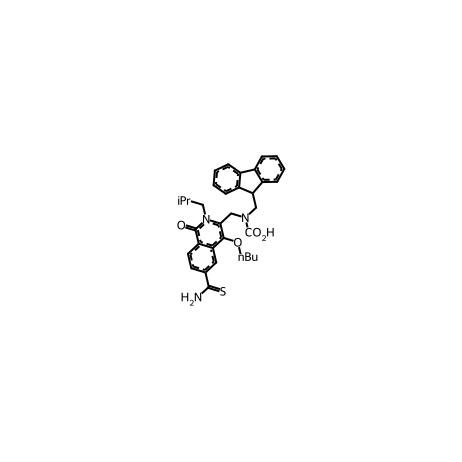 CCCCOc1c(CN(CC2c3ccccc3-c3ccccc32)C(=O)O)n(CC(C)C)c(=O)c2ccc(C(N)=S)cc12